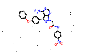 Nc1ncnc2c1c(-c1ccc(Oc3ccccc3)cc1)nn2CC(=O)Nc1ccc([N+](=O)[O-])cc1